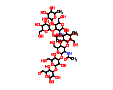 CC(=O)NC1C(OC2C(O)C(CO)OC(OC(C(O)CO)C(O)C(O)C=O)C2O)OC(CO)C(OC2OC(CO)C(O)C(OC3OC(CO)C(OC4OC(C)C(O)C(O)C4O)C(OC4OC(CO)C(O)C(O)C4O)C3NC(C)=O)C2O)C1OC1OC(C)C(O)C(O)C1O